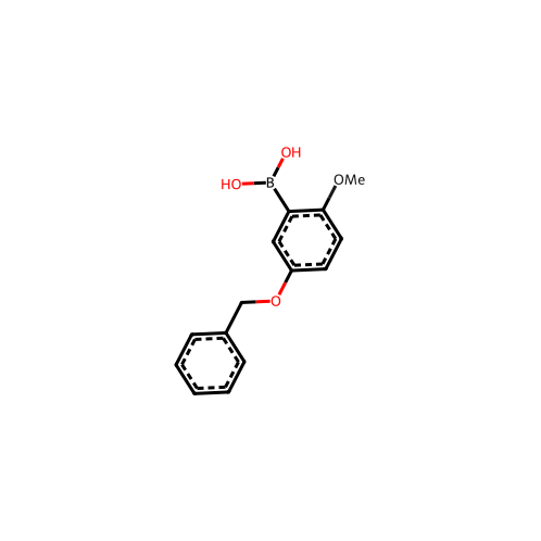 COc1ccc(OCc2ccccc2)cc1B(O)O